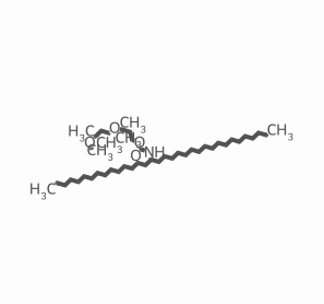 CCCCCCCCCCCCCCCCCCC(CCCCCCCCCCCCCCC)NC(=O)OCCC(C)(C)OCCC(C)(C)OC